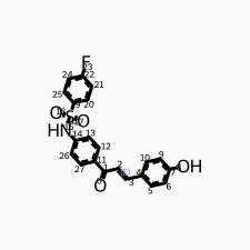 O=C(/C=C/c1ccc(O)cc1)c1ccc(NS(=O)(=O)c2ccc(F)cc2)cc1